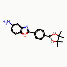 CC1(C)OB(c2ccc(-c3nc4cc(N)ccc4o3)cc2)OC1(C)C